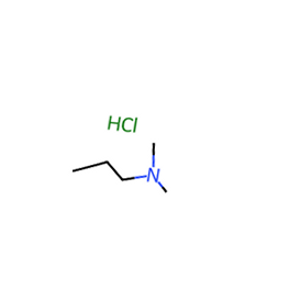 CCCN(C)C.Cl